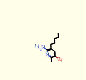 CCCCCc1cc(Br)c(C)nc1N